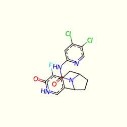 O=C(Nc1cc(Cl)c(Cl)cn1)N1C2CCC1c1c[nH]c(=O)c(F)c1C2